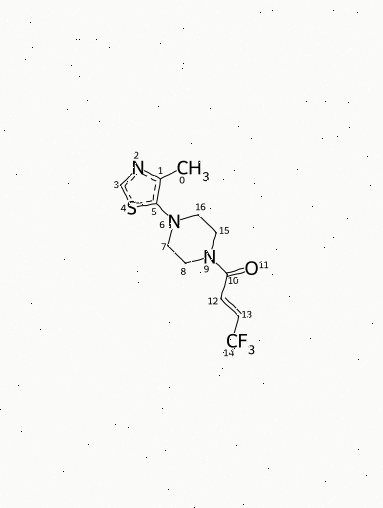 Cc1ncsc1N1CCN(C(=O)C=CC(F)(F)F)CC1